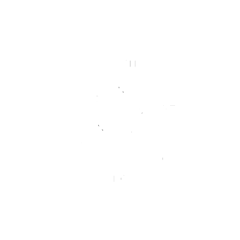 CC(C)C1C(C)N(C)C(C)N1C